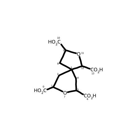 O=C(O)C1CC2(CC(C(=O)O)O1)CC(C(=O)O)OC2C(=O)O